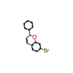 Brc1ccc2c(c1)OC(c1ccccc1)C=C2